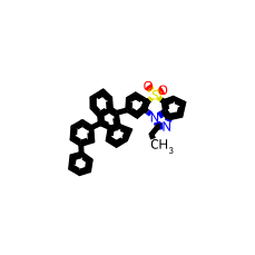 CCc1nc2cccc3c2n1-c1cc(-c2c4ccccc4c(-c4cccc(-c5ccccc5)c4)c4ccccc24)ccc1S3(=O)=O